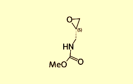 COC(=O)NC[C@H]1CO1